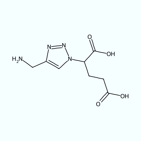 NCc1cn(C(CCC(=O)O)C(=O)O)nn1